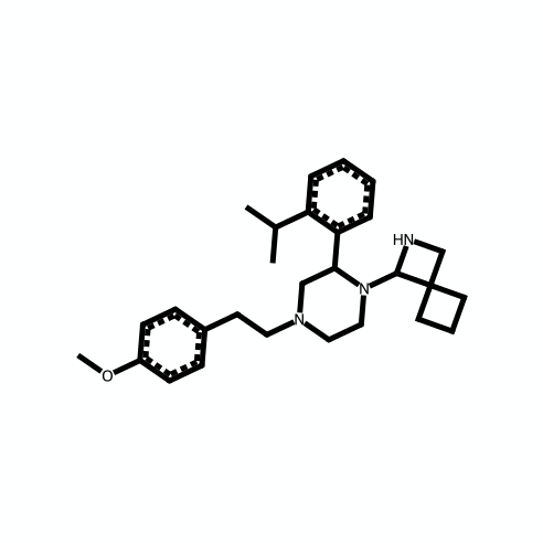 COc1ccc(CCN2CCN(C3NCC34CCC4)C(c3ccccc3C(C)C)C2)cc1